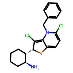 N[C@H]1CCCC[C@@H]1C1SC2=CC=C(Cl)N(Cc3ccccc3)C2=C1Cl